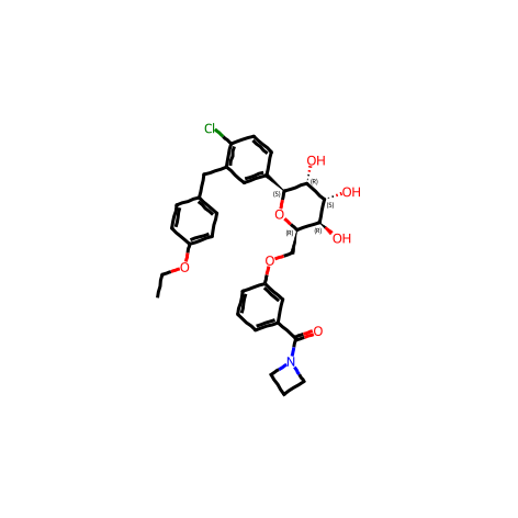 CCOc1ccc(Cc2cc([C@@H]3O[C@H](COc4cccc(C(=O)N5CCC5)c4)[C@H](O)[C@@H](O)[C@H]3O)ccc2Cl)cc1